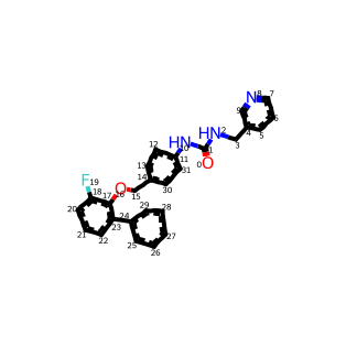 O=C(NCc1cccnc1)Nc1ccc(COc2c(F)cccc2-c2ccccc2)cc1